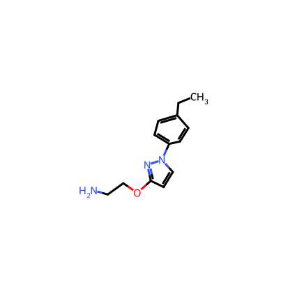 CCc1ccc(-n2ccc(OCCN)n2)cc1